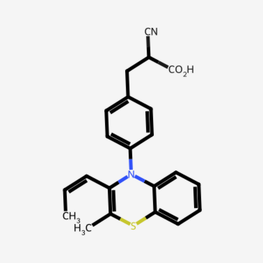 C/C=C\C1=C(C)Sc2ccccc2N1c1ccc(CC(C#N)C(=O)O)cc1